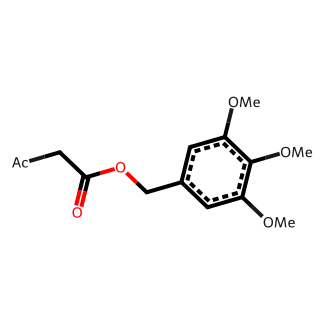 COc1cc(COC(=O)CC(C)=O)cc(OC)c1OC